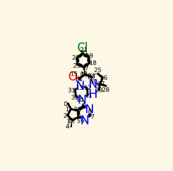 CC1C[C@H](C)c2ncnc(N3CCN(C(=O)[C@@H](c4ccc(Cl)cc4)[C@@H]4CCC(C)(C)N4)CC3)c21